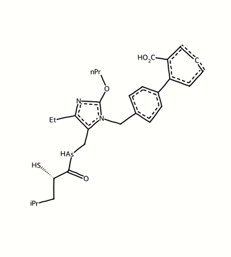 CCCOc1nc(CC)c(C[AsH]C(=O)[C@@H](S)CC(C)C)n1Cc1ccc(-c2ccccc2C(=O)O)cc1